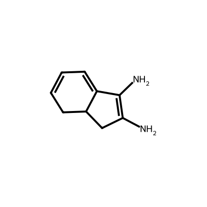 NC1=C(N)C2=CC=CCC2C1